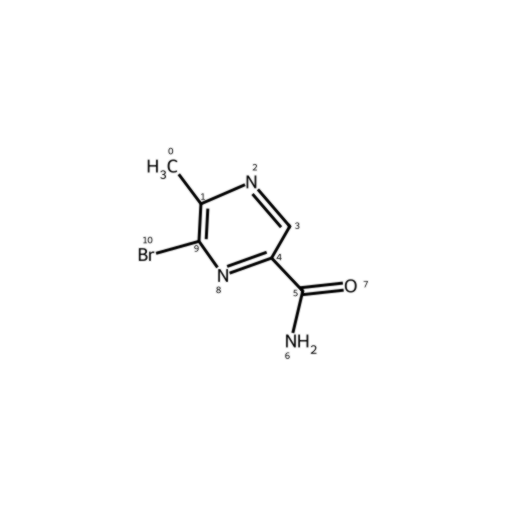 Cc1ncc(C(N)=O)nc1Br